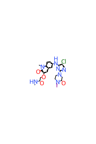 CNC(=O)COc1cc2cc(Nc3nc(N4CCN(I)C(=O)C4)ncc3Cl)ccc2n(C)c1=O